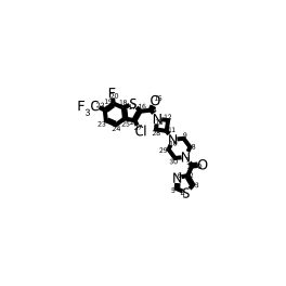 O=C(c1cscn1)N1CCN(C2CN(C(=O)c3sc4c(F)c(C(F)(F)F)ccc4c3Cl)C2)CC1